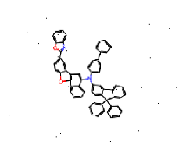 c1ccc(-c2ccc(N(c3ccc4c(c3)-c3ccccc3C4(c3ccccc3)c3ccccc3)c3cc4c5cc(-c6nc7ccccc7o6)ccc5oc4c4ccccc34)cc2)cc1